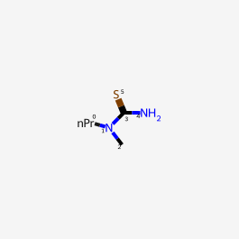 CCCN(C)C(N)=S